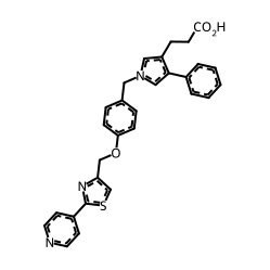 O=C(O)CCc1cn(Cc2ccc(OCc3csc(-c4ccncc4)n3)cc2)cc1-c1ccccc1